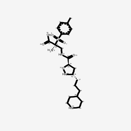 Cc1ccc(S(=O)(=O)[C@@](N)(CNC(=O)[C@H]2C[C@H](CCCC3CCNCC3)NO2)C(=O)O)cc1